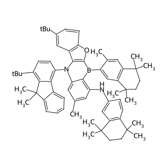 Cc1cc(Nc2ccc3c(c2)C(C)(C)CCC3(C)C)c2c(c1)N(c1ccc(C(C)(C)C)c3c1-c1ccccc1C3(C)C)c1c(oc3ccc(C(C)(C)C)cc13)B2c1cc2c(cc1C)C(C)(C)CCC2(C)C